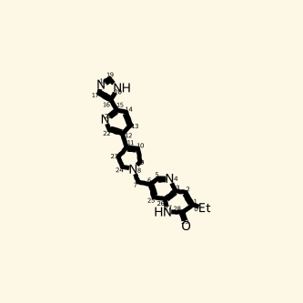 CCc1cc2ncc(CN3CC=C(c4ccc(-c5cnc[nH]5)nc4)CC3)cc2[nH]c1=O